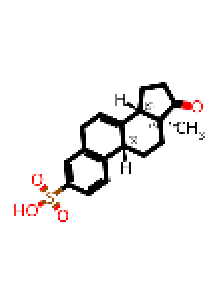 C[C@]12CC[C@H]3C(=CCc4cc(S(=O)(=O)O)ccc43)[C@@H]1CCC2=O